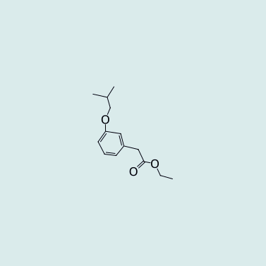 CCOC(=O)Cc1cccc(OCC(C)C)c1